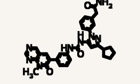 Cn1c(=O)c(-c2cccc(NC(=O)Nc3cc(C4CCCC4)nn3-c3cccc(CC(N)=O)c3)c2)cc2cncnc21